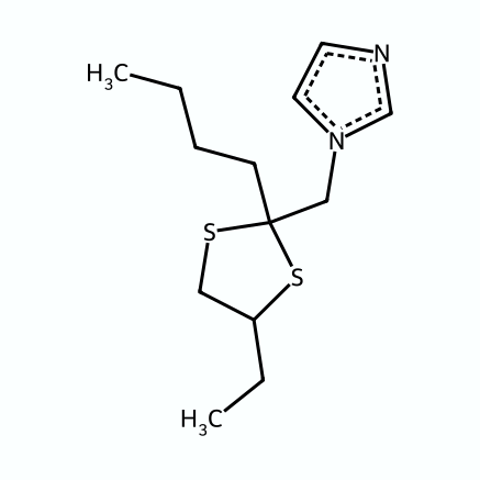 CCCCC1(Cn2ccnc2)SCC(CC)S1